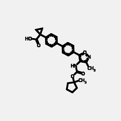 Cc1noc(-c2ccc(-c3ccc(C4(C(=O)O)CC4)cc3)cc2)c1NC(=O)OC1(C)CCCC1